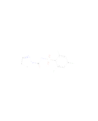 O=C(NS(=O)(=O)c1c(Cl)cc(Cl)cc1Cl)N1CCC=N1